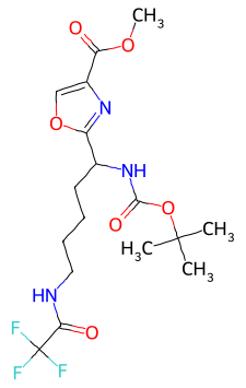 COC(=O)c1coc(C(CCCCNC(=O)C(F)(F)F)NC(=O)OC(C)(C)C)n1